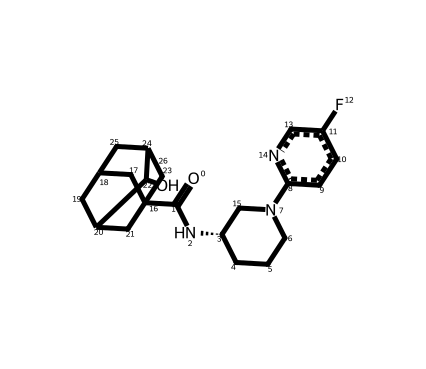 O=C(N[C@H]1CCCN(c2ccc(F)cn2)C1)C12CC3CC(C1)C(O)C(C3)C2